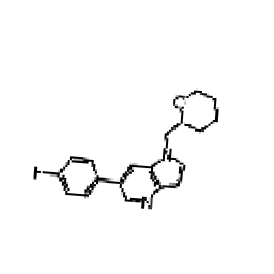 Fc1ccc(-c2cnc3ccn(CC4CCCCO4)c3c2)cc1